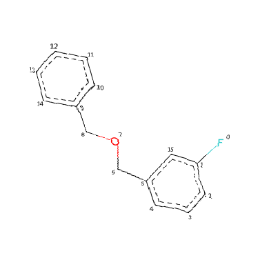 Fc1[c]ccc(COCc2ccccc2)c1